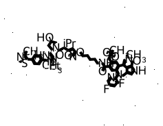 CCN1N=C([C@@H]2C[C@@H](O)CN2C(=O)C(c2cc(OCCCCCNC(=O)c3cc4c(cc3CS(C)(=O)=O)-c3cn(C)c(=O)c5[nH]cc(c35)CN4c3ncc(F)cc3F)no2)C(C)C)N[C@@]1(C)c1ccc(-c2scnc2C)cc1